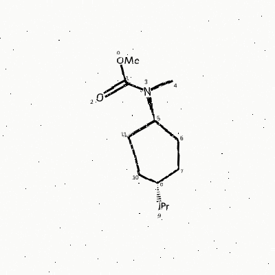 COC(=O)N(C)[C@H]1CC[C@H](C(C)C)CC1